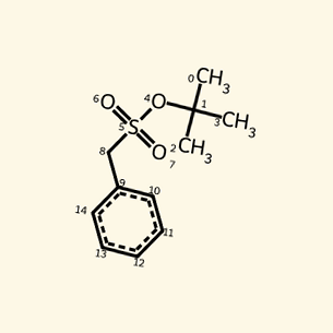 CC(C)(C)OS(=O)(=O)Cc1ccccc1